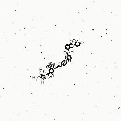 Cc1[nH]nc(Nc2ncnc3cc(OCCCN4CCN(c5nccc(C(=O)Nc6cccc7c6CN(C6CCC(=O)NC6=O)C7=O)n5)CC4)c(S(=O)(=O)C(C)(C)C)cc23)c1C